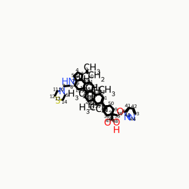 C=C(C)[C@@H]1CC[C@]2(NCCN3CCSCC3)CC[C@]3(C)[C@H](CC[C@@H]4[C@@H]5[C@@H](CC[C@]43C)C(C)(C)C(C3=CCC(COc4cccnn4)(C(=O)O)CC3)=C[C@@H]5C)[C@@H]12